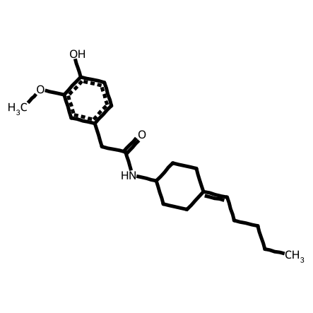 CCCCC=C1CCC(NC(=O)Cc2ccc(O)c(OC)c2)CC1